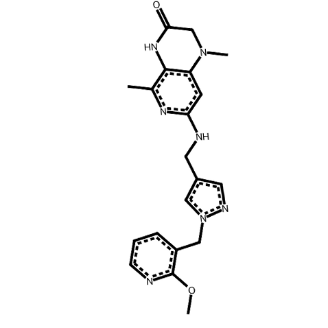 COc1ncccc1Cn1cc(CNc2cc3c(c(C)n2)NC(=O)CN3C)cn1